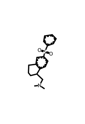 CN(C)CC1CCCc2cc(S(=O)(=O)c3ccccc3)ccc21